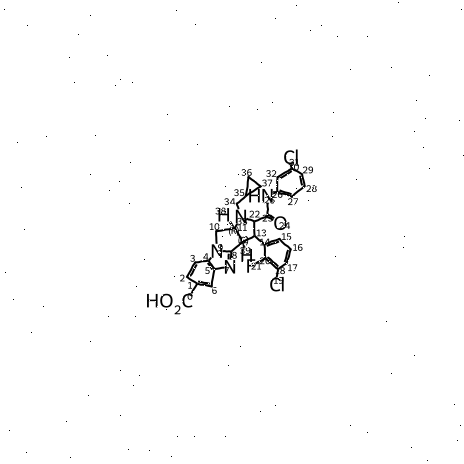 O=C(O)c1ccc2c(c1)nc1n2C[C@H]2[C@@H]1C(c1cccc(Cl)c1F)C(C(=O)Nc1cccc(Cl)c1)N2CC1CC1